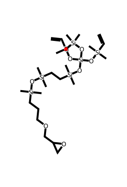 C=C[Si](C)(C)O[Si](O[Si](C)(C)C)(O[Si](C)(C)C=C)O[Si](C)(C)CC[Si](C)(C)O[Si](C)(C)CCCOCC1CO1